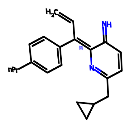 C=C/C(=C1/N=C(CC2CC2)C=CC1=N)c1ccc(CCC)cc1